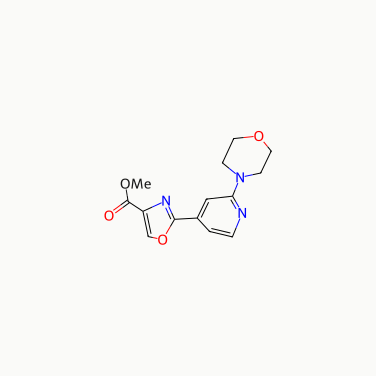 COC(=O)c1coc(-c2ccnc(N3CCOCC3)c2)n1